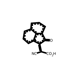 N#C/C(C(=O)O)=c1/c(=O)c2cccc3cccc1c32